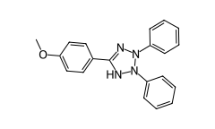 COc1ccc(C2=NN(c3ccccc3)N(c3ccccc3)N2)cc1